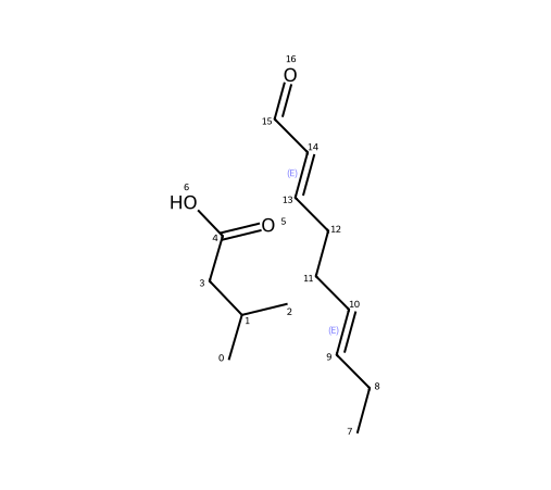 CC(C)CC(=O)O.CC/C=C/CC/C=C/C=O